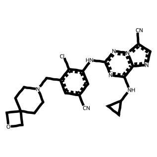 N#Cc1cc(CN2CCC3(CC2)COC3)c(Cl)c(Nc2nc(NC3CC3)c3ncc(C#N)n3n2)c1